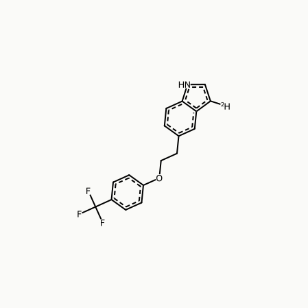 [2H]c1c[nH]c2ccc(CCOc3ccc(C(F)(F)F)cc3)cc12